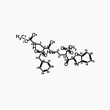 COC(=O)NCC(C(=O)NCCC(C(=O)c1nc2ccccc2o1)S(C)(=O)=O)S(=O)(=O)Cc1ccccc1